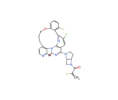 C=C(F)C(=O)N1CC2C1CCN2c1nc(=O)n2c3nc(c(F)cc13)-c1c(F)cccc1OCCCc1ccnc(C(C)C)c1-2